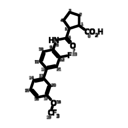 O=C(O)C1CCCC1C(=O)Nc1ccc(-c2cccc(OC(F)(F)F)c2)cc1F